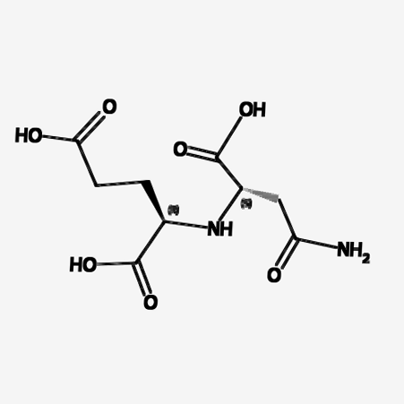 NC(=O)C[C@H](N[C@H](CCC(=O)O)C(=O)O)C(=O)O